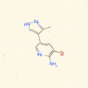 Cc1n[nH]cc1-c1cnc(N)c(Br)c1